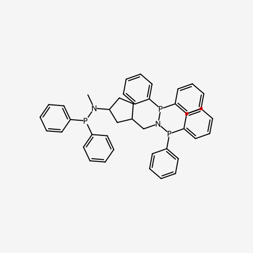 CN(C1CCC(CN(P(c2ccccc2)c2ccccc2)P(c2ccccc2)c2ccccc2)C1)P(c1ccccc1)c1ccccc1